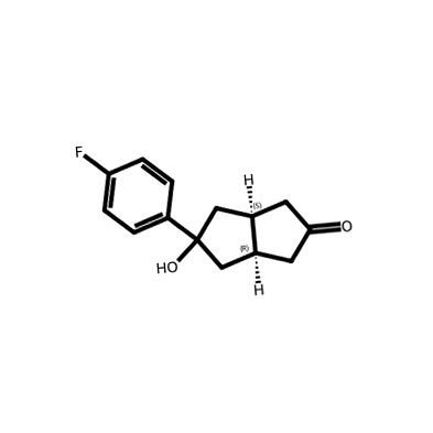 O=C1C[C@@H]2CC(O)(c3ccc(F)cc3)C[C@@H]2C1